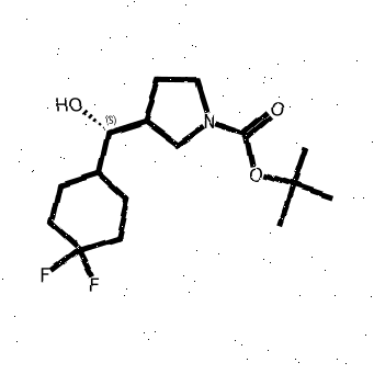 CC(C)(C)OC(=O)N1CCC([C@@H](O)C2CCC(F)(F)CC2)C1